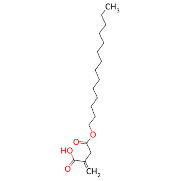 C=C(CC(=O)OCCCCCCCCCCCCCC)C(=O)O